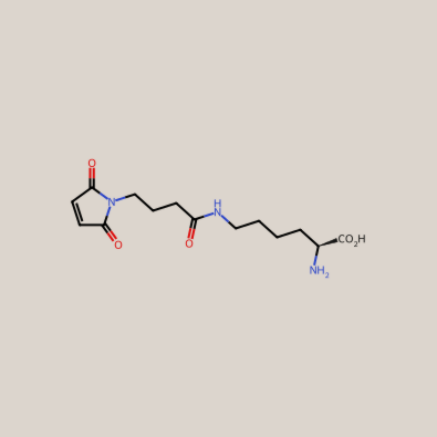 N[C@@H](CCCCNC(=O)CCCN1C(=O)C=CC1=O)C(=O)O